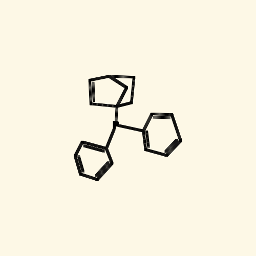 C1=CC2(P(c3ccccc3)c3ccccc3)CCC1C2